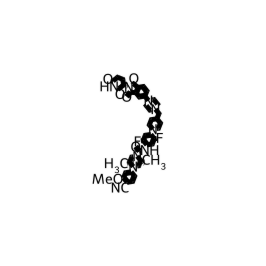 COc1cc(N2C[C@@H](C)N(C(=O)Nc3cc(F)c(N4CCC(CN5CCN(c6ccc7c(c6)C(=O)N([C@H]6CCC(=O)NC6=O)C7=O)CC5)CC4)cc3F)C[C@@H]2C)ccc1C#N